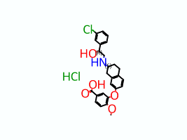 COc1ccc(C(=O)O)cc1Oc1ccc2c(c1)C[C@@H](NC[C@H](O)c1cccc(Cl)c1)CC2.Cl